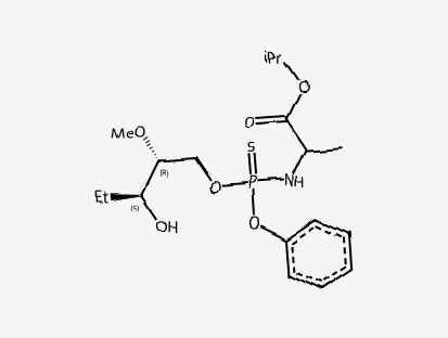 CC[C@H](O)[C@@H](COP(=S)(NC(C)C(=O)OC(C)C)Oc1ccccc1)OC